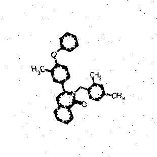 Cc1ccc(Cn2c(-c3ccc(Oc4ccccc4)c(C)c3)cc3ccccc3c2=O)c(C)c1